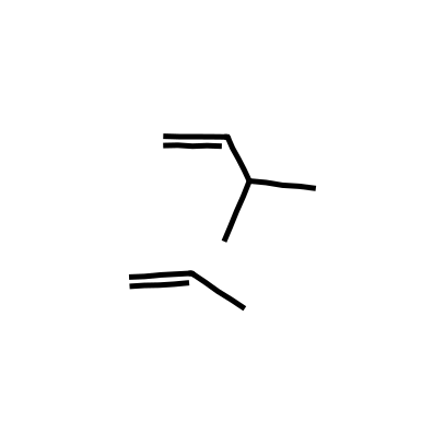 C=CC.C=CC(C)C